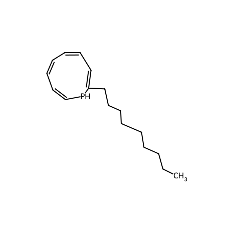 CCCCCCCCCc1ccccccc[pH]1